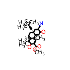 COC(=O)C1=C[C@]2(C)C3=CC(=O)C(C#N)=C[C@]3(C#C[Si](C)(C)C)CC[C@H]2C(C)(C)C1=O